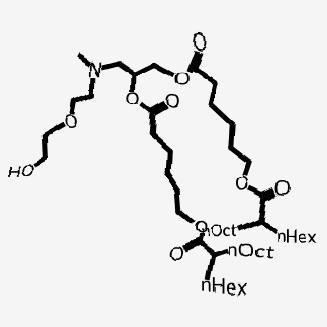 CCCCCCCCC(CCCCCC)C(=O)OCCCCCC(=O)OCC(CN(C)CCOCCO)OC(=O)CCCCCOC(=O)C(CCCCCC)CCCCCCCC